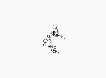 CNC[C@H](CC1CCCCC1)NC(=O)N1CCO[C@@H]([C@@H](OCCNC(=O)OC)c2cccc(Cl)c2)C1